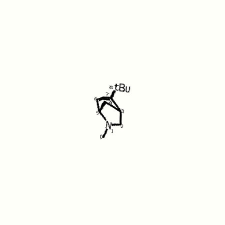 CN1CC2CC1C=C2C(C)(C)C